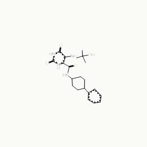 CC(C)(O)CNc1c(C(=O)NC2CCC(c3ccccc3)CC2)[nH]c(=O)[nH]c1=O